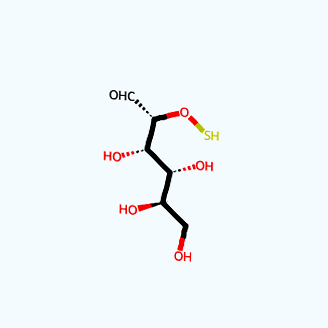 O=C[C@H](OS)[C@@H](O)[C@H](O)[C@H](O)CO